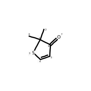 CC1(C)SC=CC1=O